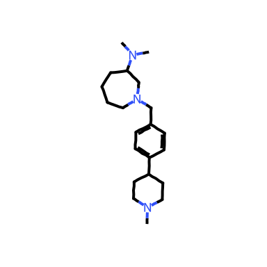 CN1CCC(c2ccc(CN3CCCCC(N(C)C)C3)cc2)CC1